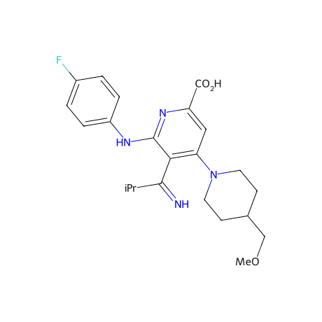 COCC1CCN(c2cc(C(=O)O)nc(Nc3ccc(F)cc3)c2C(=N)C(C)C)CC1